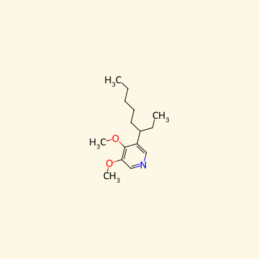 CCCCCC(CC)c1cncc(OC)c1OC